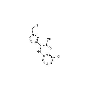 O=C(O)C(Nc1cccc(Cl)c1)c1ccc(CS)o1